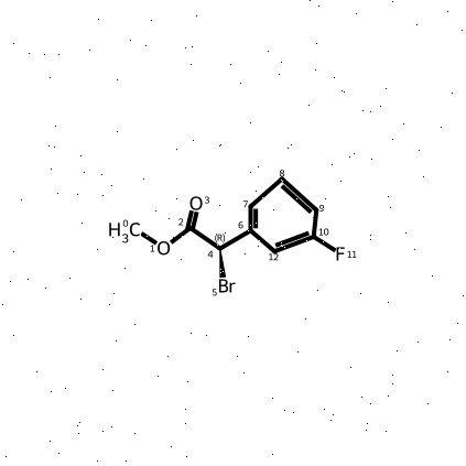 COC(=O)[C@H](Br)c1cccc(F)c1